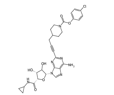 Nc1nc(C#CCC2CCN(C(=O)Oc3ccc(Cl)cc3)CC2)nc2c1ncn2[C@@H]1O[C@H](C(=O)NC2CC2)[C@H](O)C1O